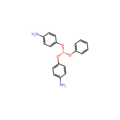 Nc1ccc(OP(Oc2ccccc2)Oc2ccc(N)cc2)cc1